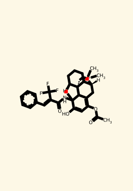 CC(=O)OC1=C2C[C@@H]3[C@@H]4CCC[C@@H]5OC(NC(=O)C(=Cc6ccccc6)C(F)(F)F)(C(O)=C1)C2[C@@]54CC[N+]3(C)C